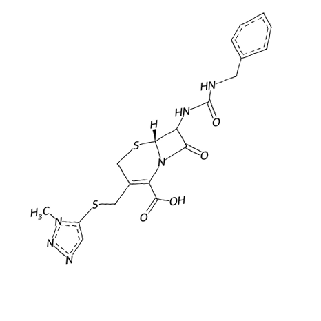 Cn1nncc1SCC1=C(C(=O)O)N2C(=O)C(NC(=O)NCc3ccccc3)[C@H]2SC1